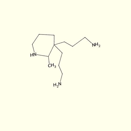 CC1NCCCC1(CCCN)CCCN